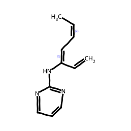 C=C/C(=C\C=C/C)Nc1ncccn1